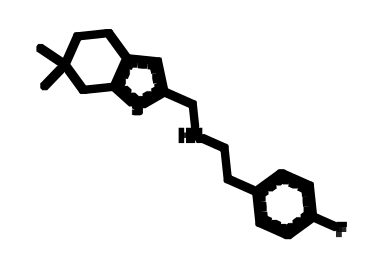 CC1(C)CCc2cc(CNCCc3ccc(F)cc3)sc2C1